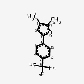 Cc1cc(-c2ccc(C(F)(F)F)cc2)oc1C